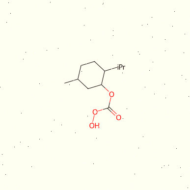 CC1CCC(C(C)C)C(OC(=O)OO)C1